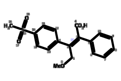 COC/C(=C(/C(=O)O)c1ccccc1)c1ccc(S(C)(=O)=O)cc1